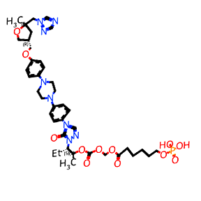 CC[C@@H]([C@H](C)OC(=O)OCOC(=O)CCCCCOP(=O)(O)O)n1ncn(-c2ccc(N3CCN(c4ccc(OC[C@@H]5CO[C@](C)(Cn6cncn6)C5)cc4)CC3)cc2)c1=O